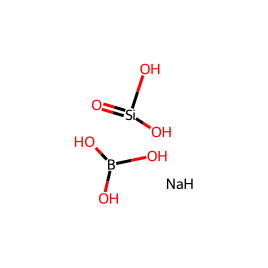 O=[Si](O)O.OB(O)O.[NaH]